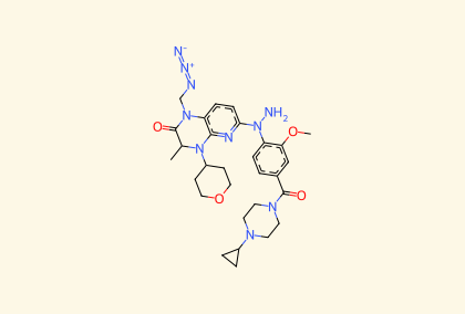 COc1cc(C(=O)N2CCN(C3CC3)CC2)ccc1N(N)c1ccc2c(n1)N(C1CCOCC1)C(C)C(=O)N2CN=[N+]=[N-]